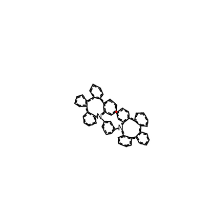 c1cc(-n2c3ccccc3c3ccccc3c3ccccc3c3ccccc32)cc(-n2c3ccccc3c3ccccc3c3ccccc3c3ccccc32)c1